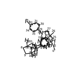 CNc1nc(N[C@H]2[C@@H]3CC[C@H]2CN(c2cnnc(Cl)c2)C3)nc2c1C(C)(C)CN2c1ccc(F)cc1